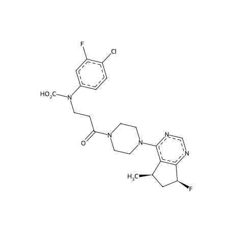 C[C@@H]1C[C@H](F)c2ncnc(N3CCN(C(=O)CCN(C(=O)O)c4ccc(Cl)c(F)c4)CC3)c21